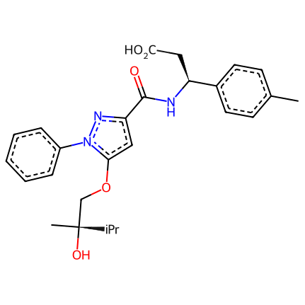 Cc1ccc([C@H](CC(=O)O)NC(=O)c2cc(OC[C@@](C)(O)C(C)C)n(-c3ccccc3)n2)cc1